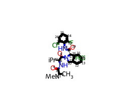 CN[C@@H](C)C(=O)N[C@H](C(=O)N1Cc2ccccc2[C@H]1C(=O)Nc1c(F)cccc1Cl)C(C)C.Cl